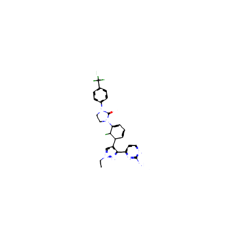 CCn1cc(C2C=CC=C(N3CCN(c4ccc(C(F)(F)F)cc4)C3=O)C2F)c(-c2ccnc(N)n2)n1